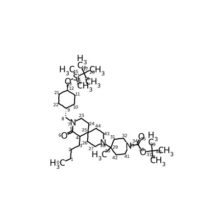 CCCCC1C(=O)N(C[C@H]2CC[C@H](O[Si](C)(C)C(C)(C)C)CC2)CCC12CCN(C1(C)CCN(C(=O)OC(C)(C)C)CC1)CC2